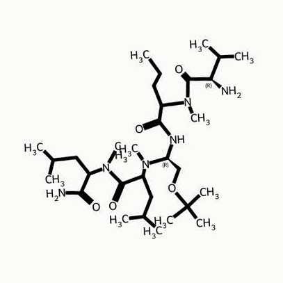 CCCC(C(=O)N[C@@H](COC(C)(C)C)N(C)C(CC(C)C)C(=O)N(C)C(CC(C)C)C(N)=O)N(C)C(=O)[C@H](N)C(C)C